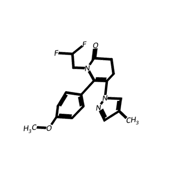 COc1ccc(C2=C(n3cc(C)cn3)CCC(=O)N2CC(F)F)cc1